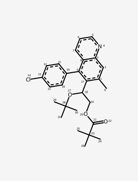 Cc1cc2ncccc2c(-c2ccc(Cl)cc2)c1C(COC(=O)C(C)(C)C)OC(C)(C)C